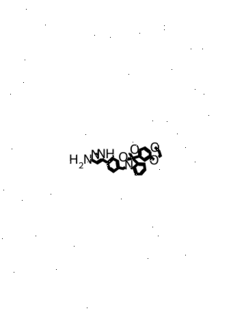 Nc1cc(-c2ccc(CN3C(=O)C4(COc5cc6c(cc54)OCCO6)c4ccccc43)cc2)[nH]n1